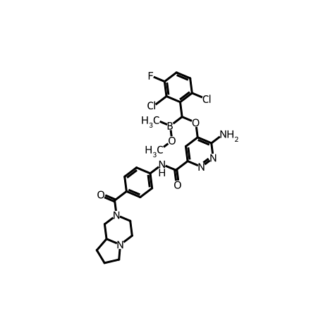 COB(C)C(Oc1cc(C(=O)Nc2ccc(C(=O)N3CCN4CCCC4C3)cc2)nnc1N)c1c(Cl)ccc(F)c1Cl